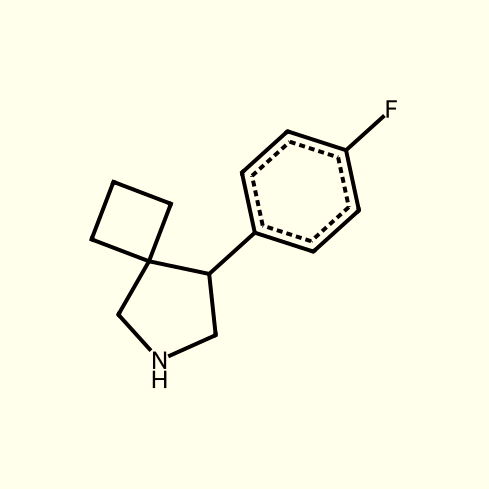 Fc1ccc(C2CNCC23CCC3)cc1